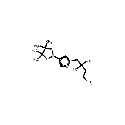 [CH2]CCC(C)(C)Cn1cc(B2OC(C)(C)C(C)(C)O2)cn1